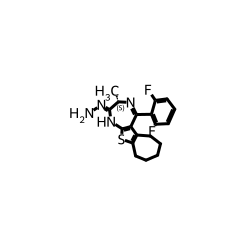 C[C@@H]1N=C(c2c(F)cccc2F)c2c(sc3c2CCCCC3)NC1=NN